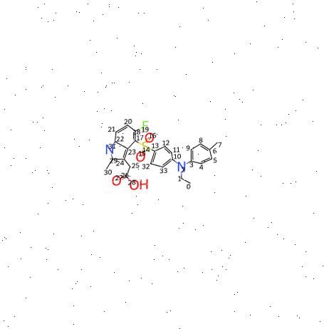 CCN(c1ccc(C)cc1)c1ccc(S(=O)(=O)c2c(F)ccc3c2=C(CC(=O)O)C(C)N=3)cc1